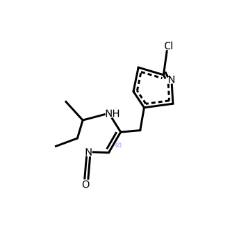 CCC(C)N/C(=C\N=O)Cc1ccc(Cl)nc1